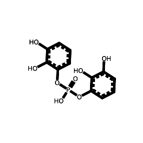 O=P(O)(Oc1cccc(O)c1O)Oc1cccc(O)c1O